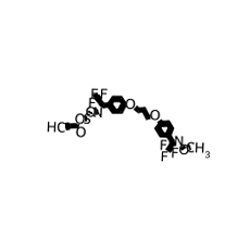 C#CC(=O)OSON=C(c1ccc(OCCCOc2ccc(C(=NOC)C(F)(F)F)cc2)cc1)C(F)(F)F